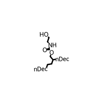 CCCCCCCCCCCCC(CCCCCCCCCC)COC(=O)NCCO